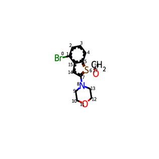 Brc1cccc2sc(N3CCOCC3)cc12.C=O